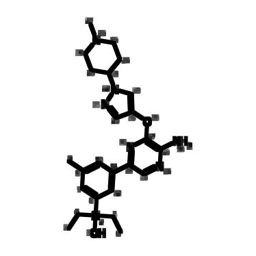 CC[Si](O)(CC)c1cc(C)cc(-c2cnc(N)c(Oc3cnn(C4CCN(C)CC4)c3)n2)c1